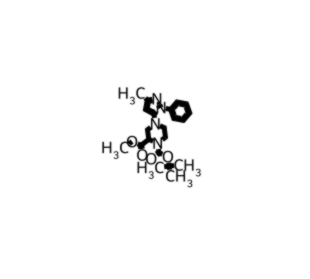 COC(=O)C1CN(c2cc(C)nn2-c2ccccc2)CCN1C(=O)OC(C)(C)C